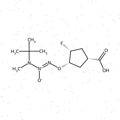 CN(/[N+]([O-])=N/O[C@H]1C[C@@H](C(=O)O)C[C@H]1F)C(C)(C)C